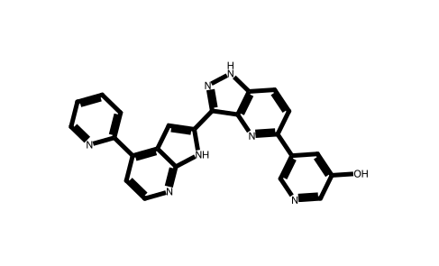 Oc1cncc(-c2ccc3[nH]nc(-c4cc5c(-c6ccccn6)ccnc5[nH]4)c3n2)c1